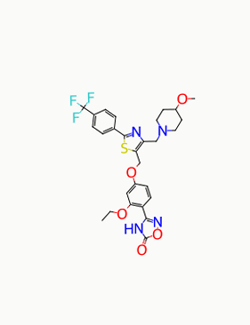 CCOc1cc(OCc2sc(-c3ccc(C(F)(F)F)cc3)nc2CN2CCC(OC)CC2)ccc1-c1noc(=O)[nH]1